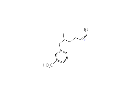 CC/C=C\CCC(C)Cc1cccc(C(=O)O)c1